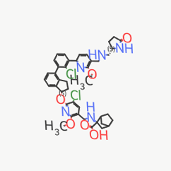 COc1nc(-c2cccc(-c3cccc4c3CC[C@@H]4Oc3nc(OC)c(CNC4(C(=O)O)CC5CCC4C5)cc3Cl)c2Cl)ccc1CNC[C@@H]1CCC(=O)N1